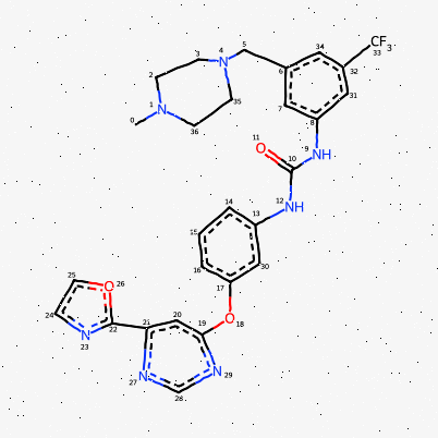 CN1CCN(Cc2cc(NC(=O)Nc3cccc(Oc4cc(-c5ncco5)ncn4)c3)cc(C(F)(F)F)c2)CC1